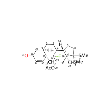 CSC1(SC)CC[C@H]2[C@@H]3CCC4=CC(=O)C=C[C@]4(C)[C@@]3(F)[C@@H](OC(C)=O)C[C@@]21C